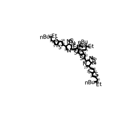 CCCCC(CC)Cc1cc2sc(-c3cnc(-c4cc5c(s4)-c4sc(-c6ncc(-c7cc8sc(CC(CC)CCCC)cc8s7)c7nsnc67)cc4[Si]5(CC(CC)CCCC)CC(CC)CCCC)c4nsnc34)cc2s1